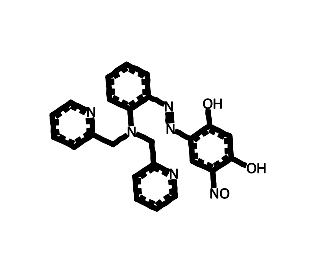 O=Nc1cc(/N=N/c2ccccc2N(Cc2ccccn2)Cc2ccccn2)c(O)cc1O